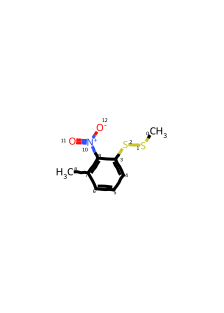 CSSc1cccc(C)c1[N+](=O)[O-]